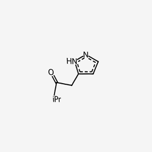 CC(C)C(=O)Cc1ccn[nH]1